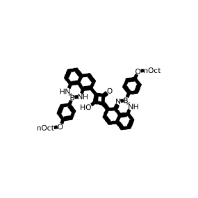 CCCCCCCCOc1ccc(B2N=c3/c(=C4\C(=O)C(c5ccc6cccc7c6c5NB(c5ccc(OCCCCCCCC)cc5)N7)=C4O)ccc4cccc(c34)N2)cc1